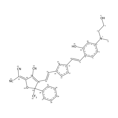 CN(CCO)c1ccc(/C=C/c2ccc(/C=C/C3=C(C#N)C(=C(C#N)C#N)OC3(c3ccccc3)C(F)(F)F)s2)c(O)c1